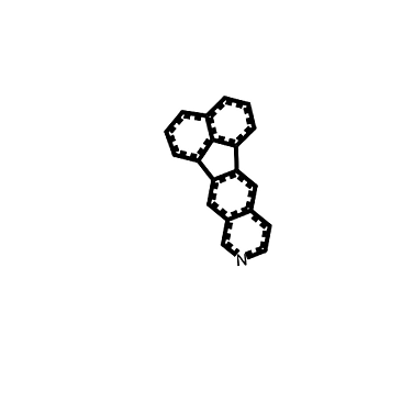 c1cc2c3c(cccc3c1)-c1cc3cnccc3cc1-2